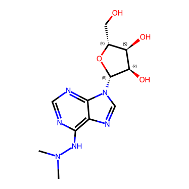 CN(C)Nc1ncnc2c1ncn2[C@@H]1O[C@H](CO)[C@@H](O)[C@H]1O